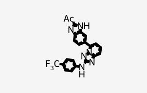 CC(=O)c1nc2ccc(-c3cccc4nc(Nc5ccc(C(F)(F)F)cc5)nn34)cc2[nH]1